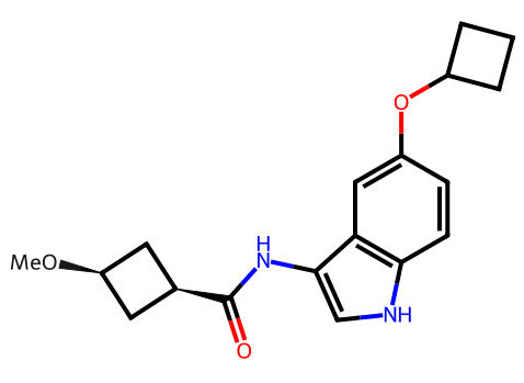 CO[C@H]1C[C@@H](C(=O)Nc2c[nH]c3ccc(OC4CCC4)cc23)C1